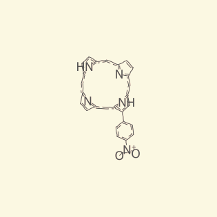 O=[N+]([O-])c1ccc(-c2cc3cc4nc(cc5ccc(cc6nc(cc2[nH]3)C=C6)[nH]5)C=C4)cc1